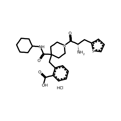 Cl.N[C@@H](Cc1cccs1)C(=O)N1CCC(Cc2ccccc2C(=O)O)(C(=O)NC2CCCCC2)CC1